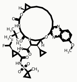 COc1ccc2nc3c(nc2c1)O[C@H]1CN(C(=O)[C@H](C(C)(C)C)NC(=O)O[C@@H]2CC2CCCCC3)[C@H](C(=O)N[C@]2(C(=O)NS(=O)(=O)C3(C)CC3)C[C@H]2C(F)F)[C@@H]1C1CC1